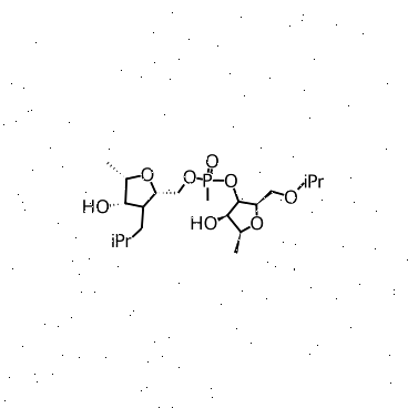 CC(C)CC1[C@@H](COP(C)(=O)OC2[C@@H](COC(C)C)O[C@@H](C)[C@H]2O)O[C@@H](C)[C@H]1O